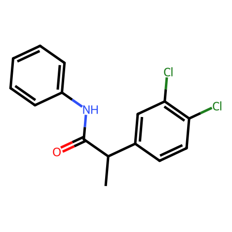 CC(C(=O)Nc1ccccc1)c1ccc(Cl)c(Cl)c1